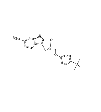 CC(C)(C)c1ccc(OC[C@@H]2Cn3c(nc4cc(C#N)ccc43)O2)cn1